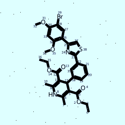 CCOC(=O)C1=C(C)NC(C)=C(C(=O)OCC)C1c1cccc(-c2nc(-c3cc(Br)c(OC)cc3OC)cs2)c1